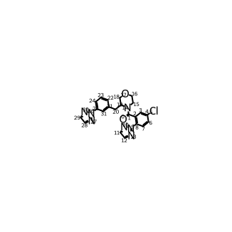 O=C(c1cc(Cl)ccc1-n1nccn1)N1CCOCC1Cc1cccc(-n2nccn2)c1